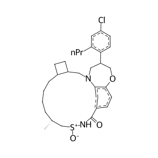 CCCc1cc(Cl)ccc1C1COc2ccc3cc2N(C1)CC1CCC1CCCC[C@@H](C)C[S+]([O-])NC3=O